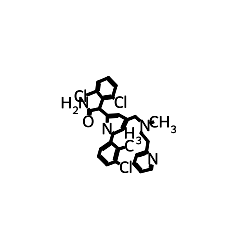 Cc1c(Cl)cccc1-c1cc(CN(C)CCc2ccccn2)cc(C(C(N)=O)c2c(Cl)cccc2Cl)n1